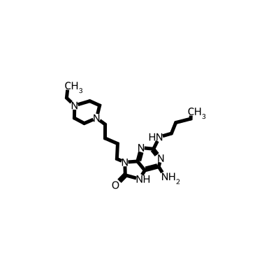 CCCCNc1nc(N)c2[nH]c(=O)n(CCCCN3CCN(CC)CC3)c2n1